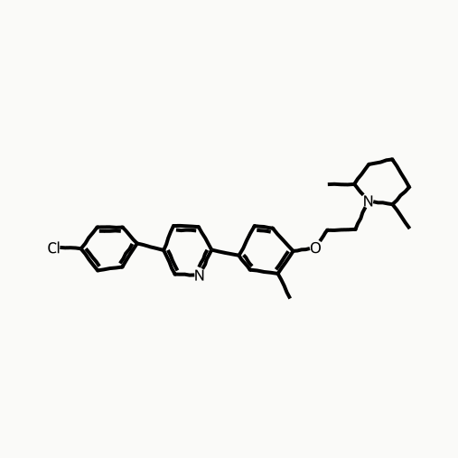 Cc1cc(-c2ccc(-c3ccc(Cl)cc3)cn2)ccc1OCCN1C(C)CCCC1C